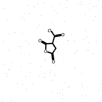 O=C1CC(C(=O)Cl)C(=O)O1